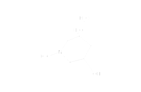 CN1CCCC(O)C1.O.O